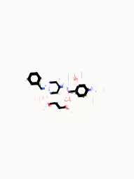 COc1cc(N)c(Cl)cc1C(=O)NC1CCN(Cc2ccccc2)CC1.O=C(O)/C=C/C(=O)O